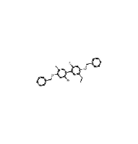 CCc1cc(-c2cc(C)c(OCc3ccccc3)cc2Br)c(F)cc1OCc1ccccc1